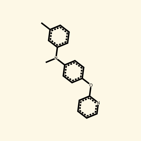 Cc1cccc(N(C)c2ccc(Oc3ccccn3)cc2)c1